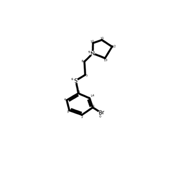 Brc1cccc(SCCN2CCCC2)c1